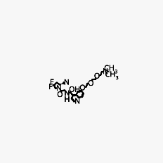 CN(C)CCOCCOCCOc1ccc2nccc(C(O)NCC(=O)N3CC(F)(F)C[C@H]3C#N)c2c1